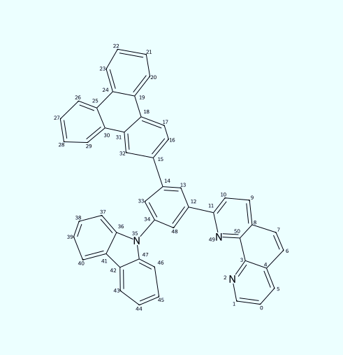 c1cnc2c(c1)ccc1ccc(-c3cc(-c4ccc5c6ccccc6c6ccccc6c5c4)cc(-n4c5ccccc5c5ccccc54)c3)nc12